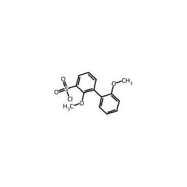 COc1ccccc1-c1cccc(S(=O)(=O)Cl)c1OC